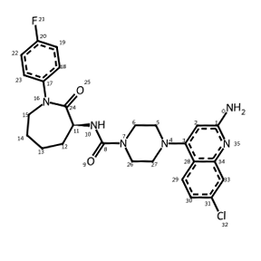 Nc1cc(N2CCN(C(=O)N[C@H]3CCCCN(c4ccc(F)cc4)C3=O)CC2)c2ccc(Cl)cc2n1